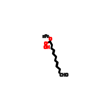 CCCOC(CCC=CCCC=CCCC=O)OO